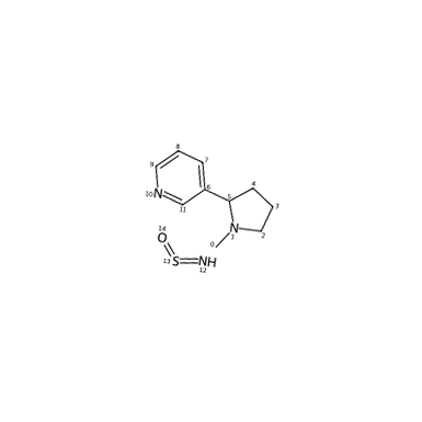 CN1CCCC1c1cccnc1.N=S=O